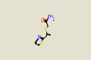 CC(SCC(N)=O)c1nccs1